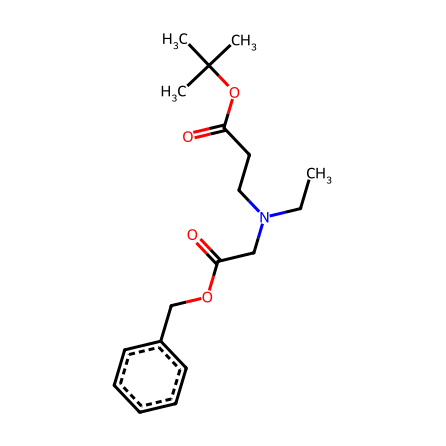 CCN(CCC(=O)OC(C)(C)C)CC(=O)OCc1ccccc1